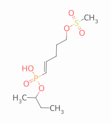 CCC(C)OP(=O)(O)C=CCCCOS(C)(=O)=O